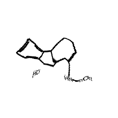 CCCCCCCCNC1CCCC2c3ccccc3CC12.Cl